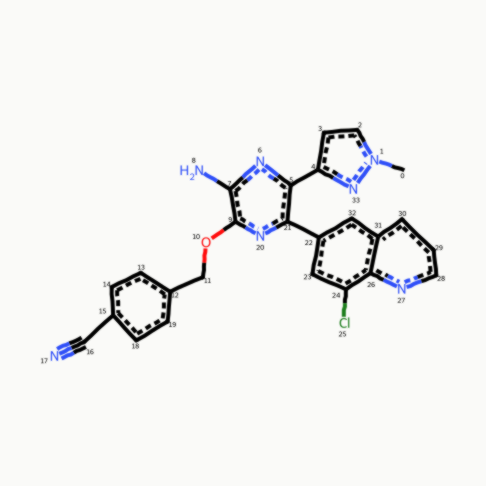 Cn1ccc(-c2nc(N)c(OCc3ccc(C#N)cc3)nc2-c2cc(Cl)c3ncccc3c2)n1